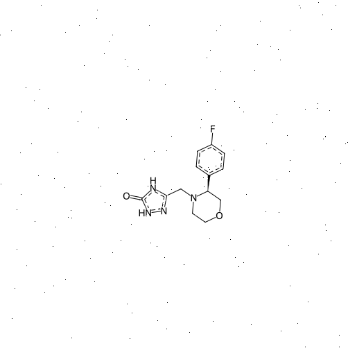 O=c1[nH]nc(CN2CCOC[C@@H]2c2ccc(F)cc2)[nH]1